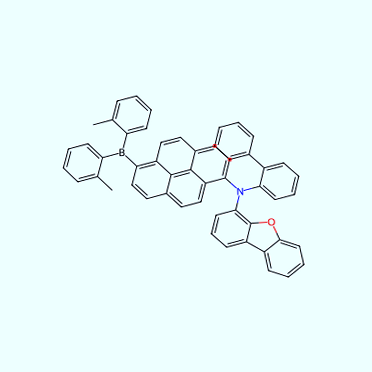 Cc1ccccc1B(c1ccccc1C)c1ccc2ccc3c(N(c4ccccc4-c4ccccc4)c4cccc5c4oc4ccccc45)ccc4ccc1c2c43